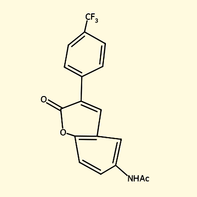 CC(=O)Nc1ccc2oc(=O)c(-c3ccc(C(F)(F)F)cc3)cc2c1